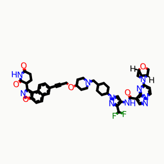 O=C1CCC(c2noc3ccc4cc(C#CCOC5CCN(CC6CCC(n7cc(NC(=O)c8cnn9ccc(N%10C[C@H]%11C[C@@H]%10CO%11)nc89)c(C(F)F)n7)CC6)CC5)ccc4c23)C(=O)N1